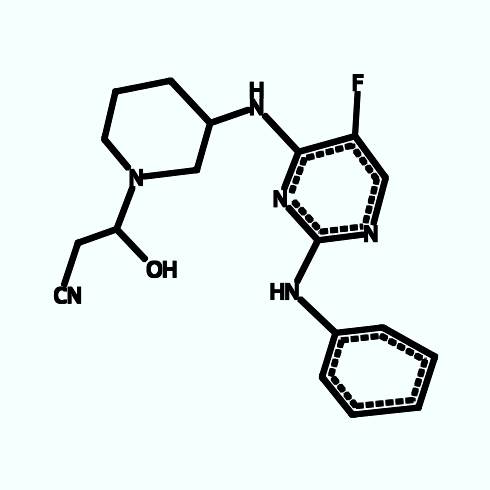 N#CCC(O)N1CCCC(Nc2nc(Nc3ccccc3)ncc2F)C1